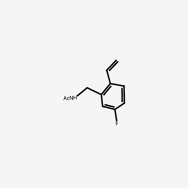 C=Cc1ccc(F)cc1CNC(C)=O